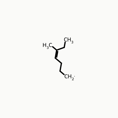 [CH2]CC/C=C(/C)CC